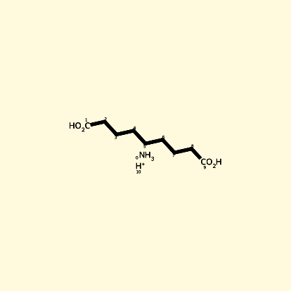 N.O=C(O)CCCCCCCC(=O)O.[H+]